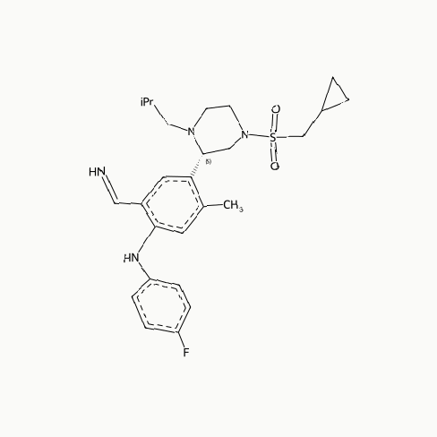 Cc1cc(Nc2ccc(F)cc2)c(C=N)cc1[C@H]1CN(S(=O)(=O)CC2CC2)CCN1CC(C)C